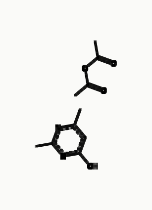 CC(=O)OC(C)=O.Cc1cc(O)nc(C)n1